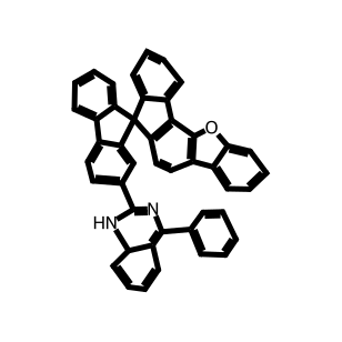 C1=CC2=C(c3ccccc3)N=C(c3ccc4c(c3)C3(c5ccccc5-4)c4ccccc4-c4c3ccc3c4oc4ccccc43)NC2C=C1